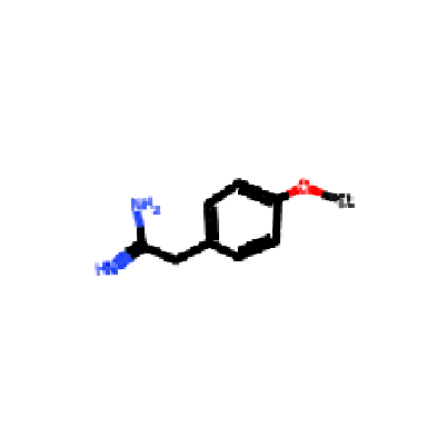 CCOc1ccc(CC(=N)N)cc1